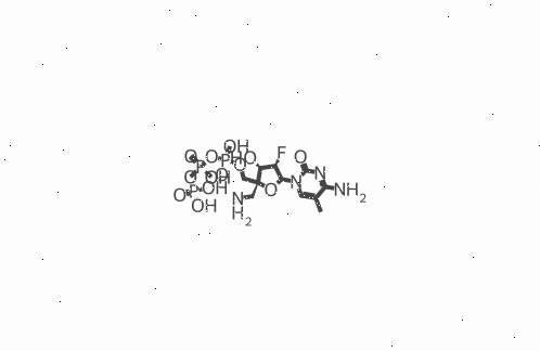 Cc1cn(C2O[C@](CN)(COP(=O)(O)OP(=O)(O)OP(=O)(O)O)[C@@H](O)[C@H]2F)c(=O)nc1N